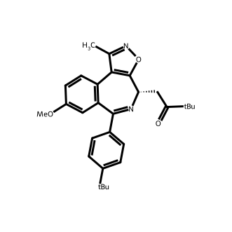 COc1ccc2c(c1)C(c1ccc(C(C)(C)C)cc1)=N[C@@H](CC(=O)C(C)(C)C)c1onc(C)c1-2